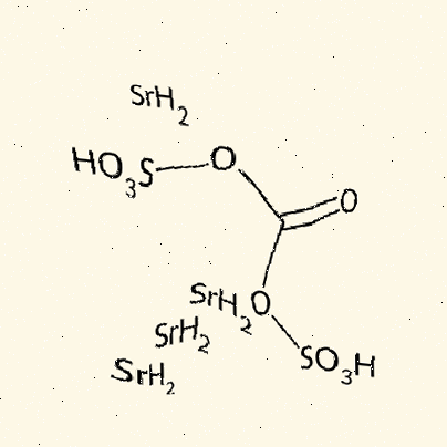 O=C(OS(=O)(=O)O)OS(=O)(=O)O.[SrH2].[SrH2].[SrH2].[SrH2]